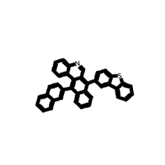 c1ccc2cc(-c3c4ccccc4c(-c4ccc5sc6ccccc6c5c4)c4cnc5ccccc5c34)ccc2c1